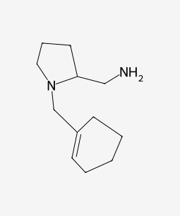 NCC1CCCN1CC1=CCCCC1